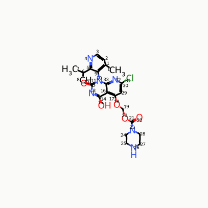 Cc1ccnc(C(C)C)c1-n1c(=O)nc(O)c2c(OCOC(=O)N3CCNCC3)cc(Cl)nc21